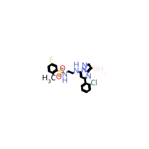 Bc1cnn2c(NCCNS(=O)(=O)c3cc(F)ccc3C)cc(-c3ccccc3Cl)nc12